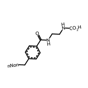 CCCCCCCCCCc1ccc(C(=O)NCCNC(=O)O)cc1